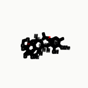 CCN1CC2(C)Cc3cc(C)c(OC)c(O)c3[C@H]1[C@@H]1[C@@H]3SCC(=O)C(=O)OC[C@@H](c4c5c(c(C)c(OC(C)=O)c43)OCO5)N12